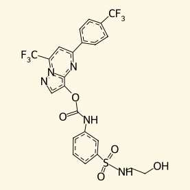 O=C(Nc1cccc(S(=O)(=O)NCCO)c1)Oc1cnn2c(C(F)(F)F)cc(-c3ccc(C(F)(F)F)cc3)nc12